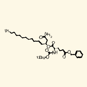 CC(C)CCCCCCCCCCC[C@@H](CC(N)=O)OC(=O)[C@H](CCCC(=O)OCc1ccccc1)NC(=O)OC(C)(C)C